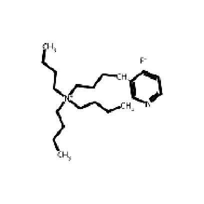 CCCC[N+](CCCC)(CCCC)CCCC.[F-].c1ccncc1